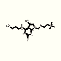 C[Si](C)(C)CCOCn1cc(Br)c2c(NCCCO)nc(Cl)nc21